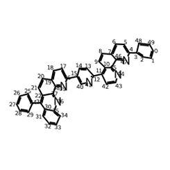 c1ccc(-c2ccc3ccc4c(-c5ccc(-c6ccc7ccc8c(-c9ccccc9)c9ccccc9nc8c7n6)cn5)ccnc4c3n2)cc1